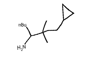 CCCCC(N)C(C)(C)CC1CC1